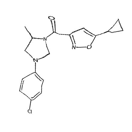 CC1CN(c2ccc(Cl)cc2)CN1C(=O)c1cc(C2CC2)on1